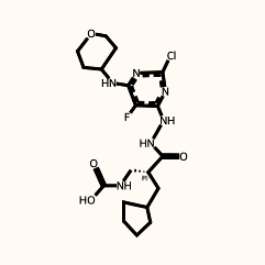 O=C(O)NC[C@@H](CC1CCCC1)C(=O)NNc1nc(Cl)nc(NC2CCOCC2)c1F